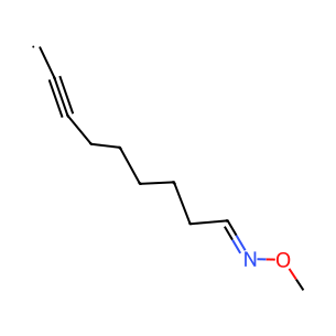 [CH2]C#CCCCCC/C=N/OC